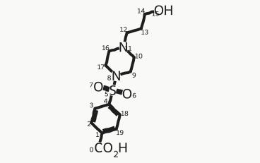 O=C(O)c1ccc(S(=O)(=O)N2CCN(CCCO)CC2)cc1